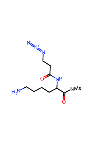 CNC(=O)C(CCCCN)NC(=O)CCN=[N+]=[N-]